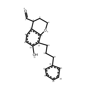 O=CC1CCOc2c1ccc(O)c2CCCc1ccccc1